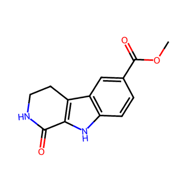 COC(=O)c1ccc2[nH]c3c(c2c1)CCNC3=O